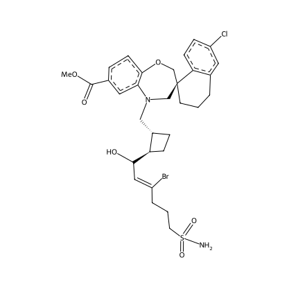 COC(=O)c1ccc2c(c1)N(C[C@@H]1CC[C@H]1C(O)/C=C(\Br)CCCS(N)(=O)=O)C[C@@]1(CCCc3cc(Cl)ccc31)CO2